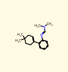 CN(C)/C=N/c1ccccc1C1=CCC(C)(C)CC1